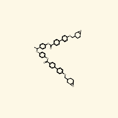 CC(Oc1ccc(OC(=O)c2ccc(-c3ccc(OCC4CCC5OC5C4)cc3)cc2)cc1)c1ccc(OC(=O)c2ccc(-c3ccc(OCC4CCC5OC5C4)cc3)cc2)cc1